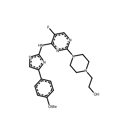 COc1ccc(-c2csc(Nc3nc(N4CCN(CCO)CC4)ncc3F)n2)cc1